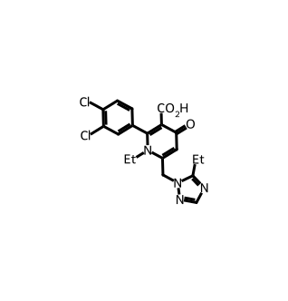 CCc1ncnn1Cc1cc(=O)c(C(=O)O)c(-c2ccc(Cl)c(Cl)c2)n1CC